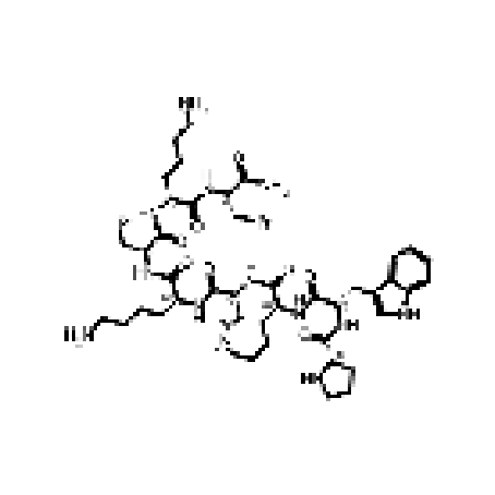 CC(C)C[C@H](NC(=O)[C@H](CCCCN)NC(=O)[C@H](CC(C)C)NC(=O)[C@H](CCCCN)NC(=O)[C@H](CC(C)C)NC(=O)[C@H](CCCCN)NC(=O)[C@H](Cc1c[nH]c2ccccc12)NC(=O)[C@@H]1CCCN1)C(N)=O